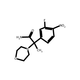 CC(C(N)=O)(c1ccc([N+](=O)[O-])c(F)c1)N1CCOCC1